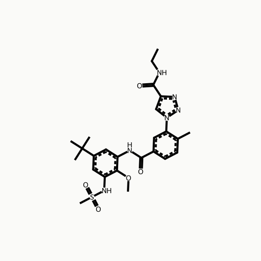 CCNC(=O)c1cn(-c2cc(C(=O)Nc3cc(C(C)(C)C)cc(NS(C)(=O)=O)c3OC)ccc2C)nn1